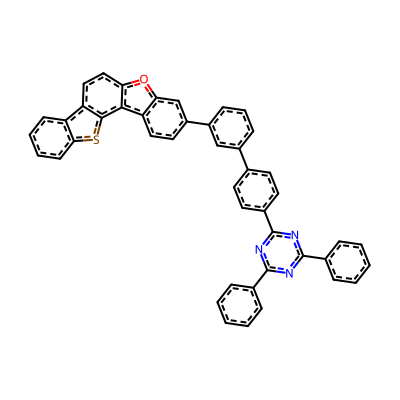 c1ccc(-c2nc(-c3ccccc3)nc(-c3ccc(-c4cccc(-c5ccc6c(c5)oc5ccc7c8ccccc8sc7c56)c4)cc3)n2)cc1